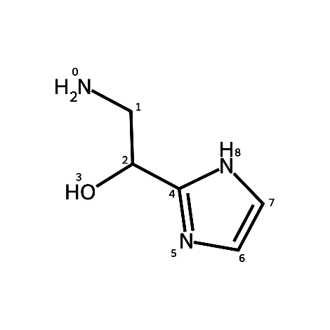 NCC(O)c1ncc[nH]1